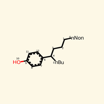 CCCCCCCCCCCCC(CCCC)c1ccc(O)cc1